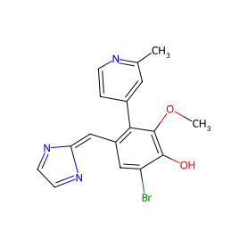 COc1c(O)c(Br)cc(C=C2N=CC=N2)c1-c1ccnc(C)c1